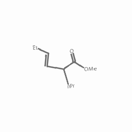 CCC=CC(CCC)C(=O)OC